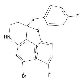 Fc1ccc(SC2(Sc3ccc(F)cc3)CCNc3cc(Br)ccc32)cc1